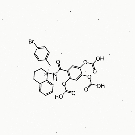 O=C(O)Oc1cc(OC(=O)O)c(C(=O)N[C@]2(Cc3ccc(Br)cc3)CCCc3ccccc32)cc1OC(=O)O